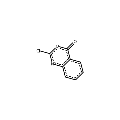 O=c1oc(Cl)nc2ccccc12